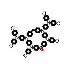 COc1ccc(N(c2ccc(OC)cc2)c2ccc(N(c3ccc(Cc4ccc(N(c5ccc(N(c6ccc(OC)cc6)c6ccc(OC)cc6)cc5)c5ccc(N(c6ccc(OC)cc6)c6ccc(OC)cc6)cc5)cc4)cc3)c3ccc(N(c4ccc(OC)cc4)c4ccc(OC)cc4)cc3)cc2)cc1